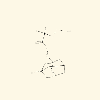 O=C(OCC12CC3CC(CC(O)(C3)C1)C2)C(F)(F)SOO